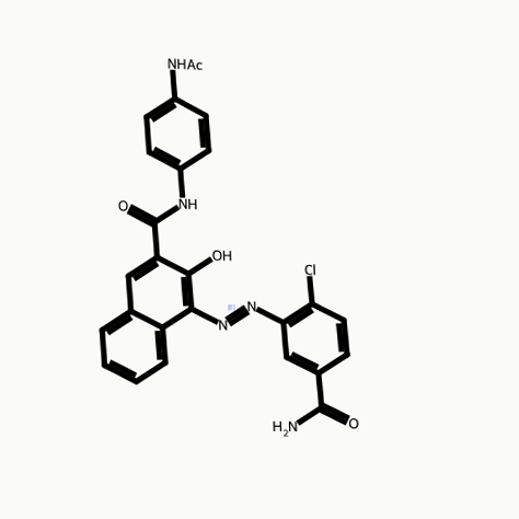 CC(=O)Nc1ccc(NC(=O)c2cc3ccccc3c(/N=N/c3cc(C(N)=O)ccc3Cl)c2O)cc1